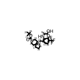 C[C@H](Nc1cc(C(F)(F)F)ccc1CN1CCCC12CCN(C(=O)OC(C)(C)C)CC2)C(=O)O